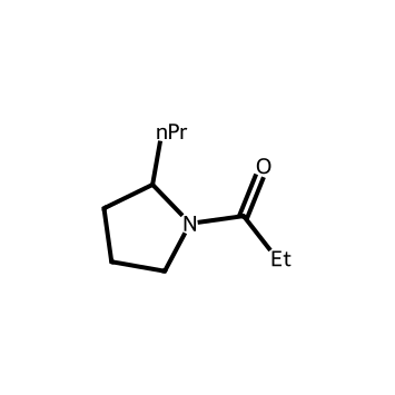 CCCC1CCCN1C(=O)CC